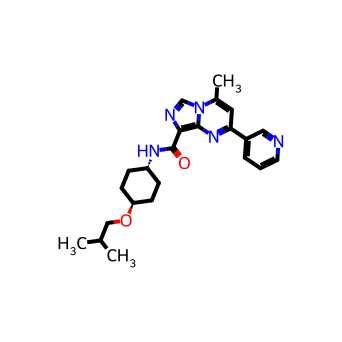 Cc1cc(-c2cccnc2)nc2c(C(=O)N[C@H]3CC[C@H](OCC(C)C)CC3)ncn12